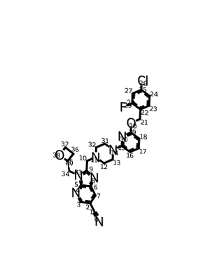 N#Cc1cnc2c(c1)nc(CN1CCN(c3cccc(OCc4ccc(Cl)cc4F)n3)CC1)n2C[C@@H]1CCO1